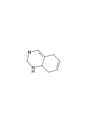 C1=CCC2NC[N]C=C2C1